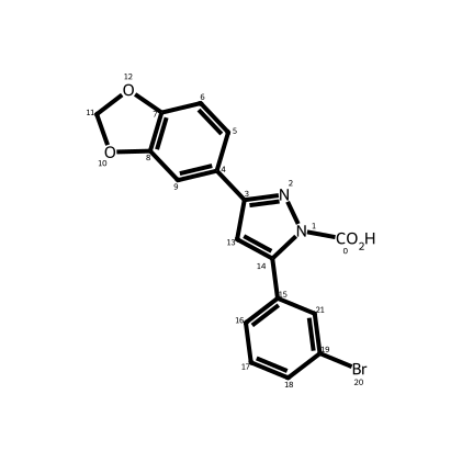 O=C(O)n1nc(-c2ccc3c(c2)OCO3)cc1-c1cccc(Br)c1